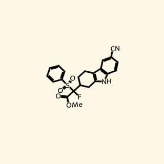 COC(=O)C(F)(C1CCc2c([nH]c3ccc(C#N)cc23)C1)S(=O)(=O)c1ccccc1